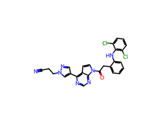 N#CCCn1cc(-c2ncnc3c2ccn3C(=O)Cc2ccccc2Nc2c(Cl)cccc2Cl)cn1